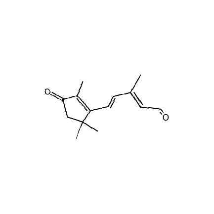 CC(C=CC1=C(C)C(=O)CC1(C)C)=CC=O